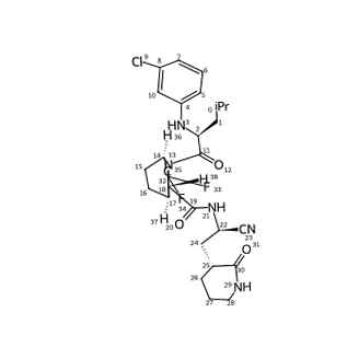 CC(C)C[C@H](Nc1cccc(Cl)c1)C(=O)N1[C@@H]2CC[C@H]([C@H]1C(=O)N[C@@H](C#N)C[C@H]1CCCNC1=O)C(F)(F)C2